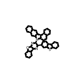 c1ccc2cc3c(cc2c1)c1c2ccccc2ccc1n3-c1nc2oc3ccccc3c2nc1-c1ccc2c(c1)sc1ccccc12